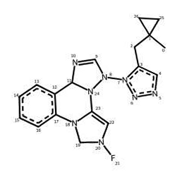 CC1(Cc2cnnn2N2C=NC3c4ccccc4N4CN(F)C=C4N32)CC1